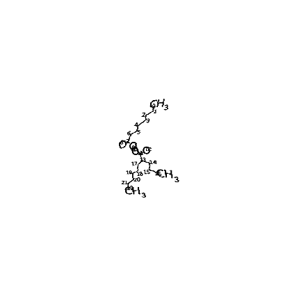 CCCCCCCC(=O)OOC(=O)C(CCC)CCCCCC